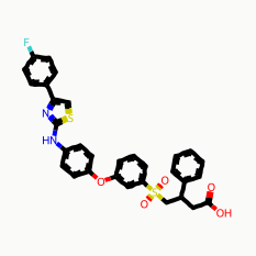 O=C(O)CC(CS(=O)(=O)c1cccc(Oc2ccc(Nc3nc(-c4ccc(F)cc4)cs3)cc2)c1)c1ccccc1